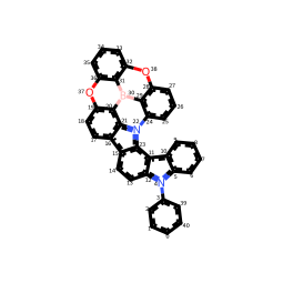 c1ccc(-n2c3ccccc3c3c2ccc2c4ccc5c6c4n(c23)-c2cccc3c2B6c2c(cccc2O5)O3)cc1